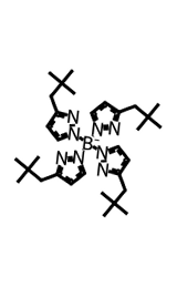 CC(C)(C)Cc1ccn([B-](n2ccc(CC(C)(C)C)n2)(n2ccc(CC(C)(C)C)n2)n2ccc(CC(C)(C)C)n2)n1